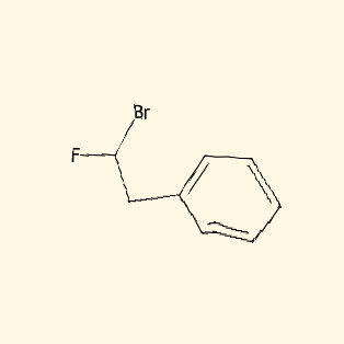 FC(Br)Cc1ccccc1